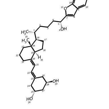 C[C@H](CCC[C@@H](O)c1cc2ccccc2o1)[C@H]1CC[C@H]2/C(=C/C=C3C[C@@H](O)C[C@H](O)C3)CCC[C@]12C